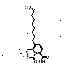 CCCCCCCCCc1ccc(C(=O)O)c(C(=O)O)c1CC